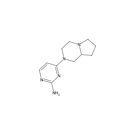 Nc1nccc(N2CCN3CCCC3C2)n1